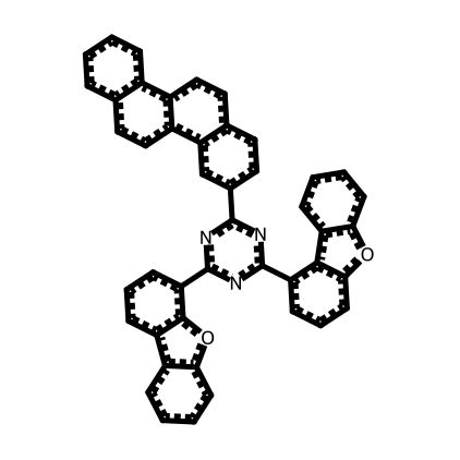 c1ccc2c(c1)ccc1c3cc(-c4nc(-c5cccc6c5oc5ccccc56)nc(-c5cccc6oc7ccccc7c56)n4)ccc3ccc21